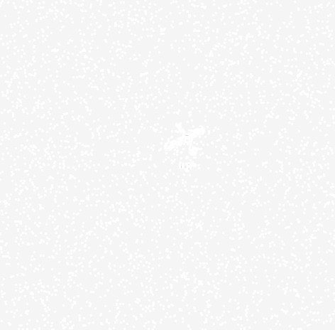 CS(=O)(=O)[O-].[Hg+]